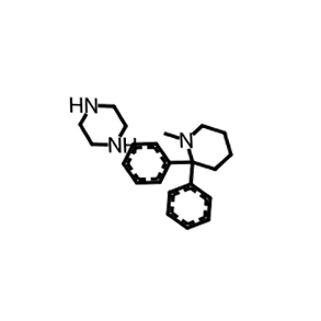 C1CNCCN1.CN1CCCCC1(c1ccccc1)c1ccccc1